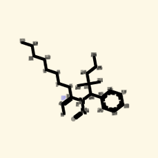 C=NN(/C(=C\C)CCCCCCCC)C(c1ccccc1)C(C)(C)CCC